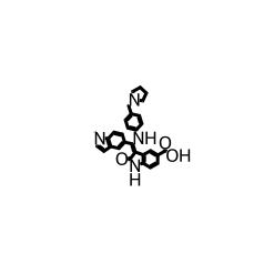 Cn1ccc2cc(C(Nc3ccc(CN4CCCC4)cc3)=C3C(=O)Nc4ccc(C(=O)O)cc43)ccc21